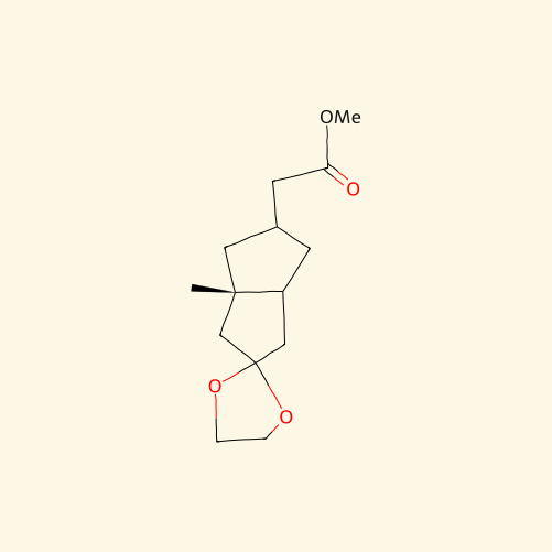 COC(=O)CC1CC2CC3(C[C@]2(C)C1)OCCO3